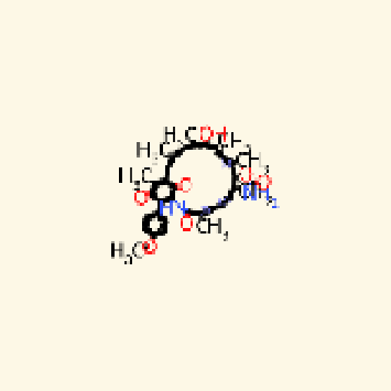 COc1ccc(C2=C3NC(=O)/C(C)=C/C=C\[C@H](C)[C@@H](OC(N)=O)/C(C)=C/[C@H](C)[C@@H](O)[C@@H](C)C[C@H](C)CC(=C(C)C2=O)C3=O)cc1